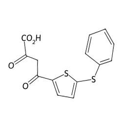 O=C(O)C(=O)CC(=O)c1ccc(Sc2ccccc2)s1